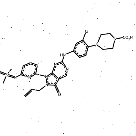 C=CCn1c(=O)c2cnc(Nc3ccc(N4CCN(C(=O)O)CC4)c(Cl)c3)nc2n1-c1cccc(N=S(C)(C)=O)n1